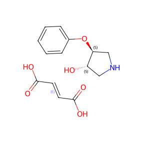 O=C(O)/C=C/C(=O)O.O[C@H]1CNC[C@@H]1Oc1ccccc1